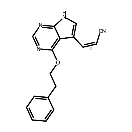 N#C/C=C\c1c[nH]c2ncnc(OCCc3ccccc3)c12